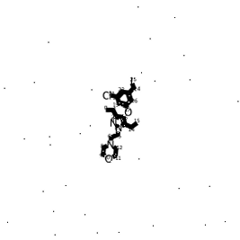 CCc1nn(CCN2CCOCC2)c(CC)c1Oc1cc(Cl)cc(CI)c1